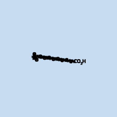 O=C(O)CCOCCOCCOCCOCCOCCOCCOCCOCCN1C(=O)C=CC1=O